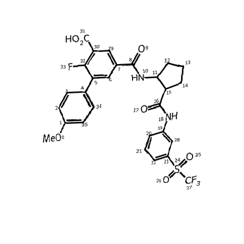 COc1ccc(-c2cc(C(=O)NC3CCCC3C(=O)Nc3cccc(S(=O)(=O)C(F)(F)F)c3)cc(C(=O)O)c2F)cc1